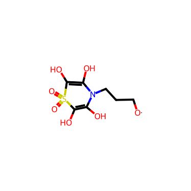 [O]CCCN1C(O)=C(O)S(=O)(=O)C(O)=C1O